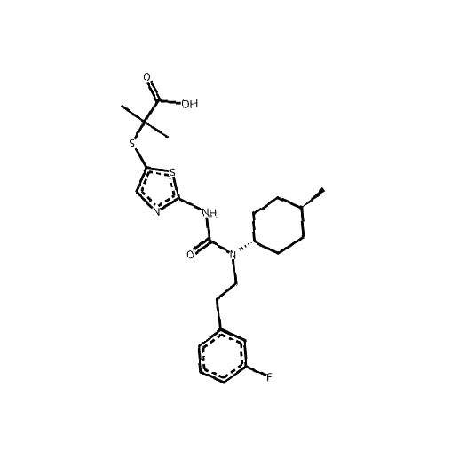 CC(C)(Sc1cnc(NC(=O)N(CCc2cccc(F)c2)[C@H]2CC[C@H](C)CC2)s1)C(=O)O